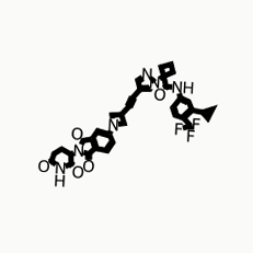 O=C1CCC(N2C(=O)c3ccc(N4CC(C#Cc5cnn(C6(C(=O)Nc7ccc(C(F)(F)F)c(C8CC8)c7)CCC6)c5)C4)cc3C2=O)C(=O)N1